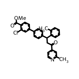 COC(=O)c1ccc(-c2ccc(C(CC(=O)c3ccnc(C)c3)c3ccccc3C)cc2)cc1Cl